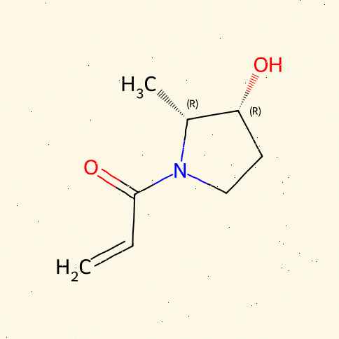 C=CC(=O)N1CC[C@@H](O)[C@H]1C